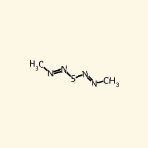 CN=NSN=NC